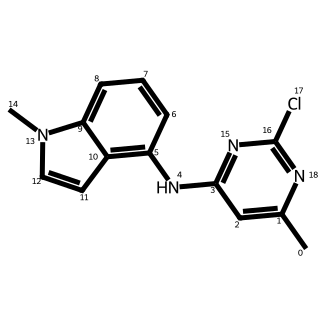 Cc1cc(Nc2cccc3c2ccn3C)nc(Cl)n1